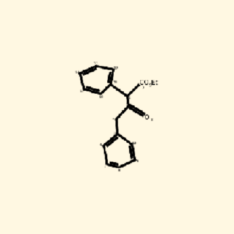 CCOC(=O)C(C(=O)Cc1ccccc1)c1ccccc1